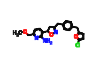 COCc1ccc(C2CC(Cc3ccc(Cc4ccc(Cl)o4)cc3)=NO2)c(N)n1